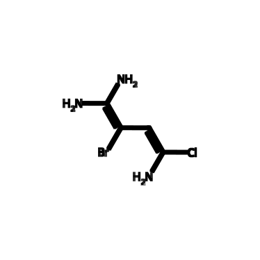 NC(N)=C(Br)/C=C(\N)Cl